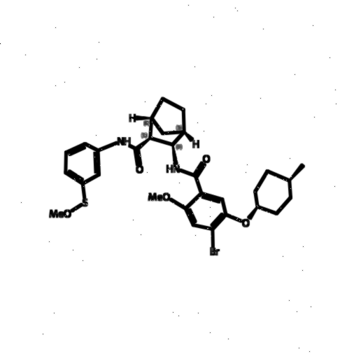 COSc1cccc(NC(=O)[C@H]2[C@@H]3CC[C@@H](C3)[C@H]2NC(=O)c2cc(O[C@H]3CC[C@@H](C)CC3)c(Br)cc2OC)c1